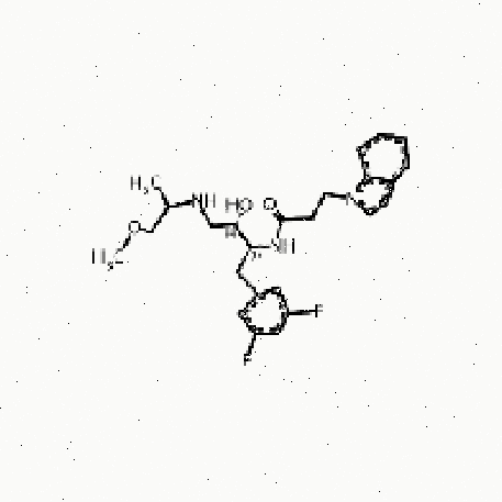 COCC(C)NC[C@H](O)[C@H](Cc1cc(F)cc(F)c1)NC(=O)CCn1ccc2ccccc21